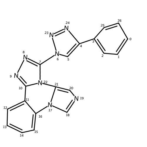 c1ccc(-c2cn(-c3nnc4c5ccccc5n5cncc5n34)nn2)cc1